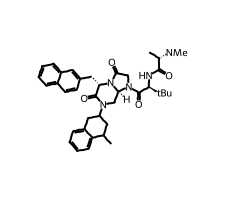 CN[C@@H](C)C(=O)N[C@H](C(=O)N1CC(=O)N2[C@@H]1CN(C1Cc3ccccc3C(C)C1)C(=O)[C@@H]2Cc1ccc2ccccc2c1)C(C)(C)C